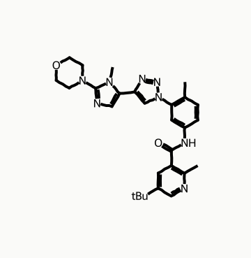 Cc1ccc(NC(=O)c2cc(C(C)(C)C)cnc2C)cc1-n1cc(-c2cnc(N3CCOCC3)n2C)nn1